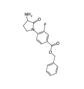 NC1CCN(c2ccc(C(=O)OCc3ccccc3)cc2F)C1=O